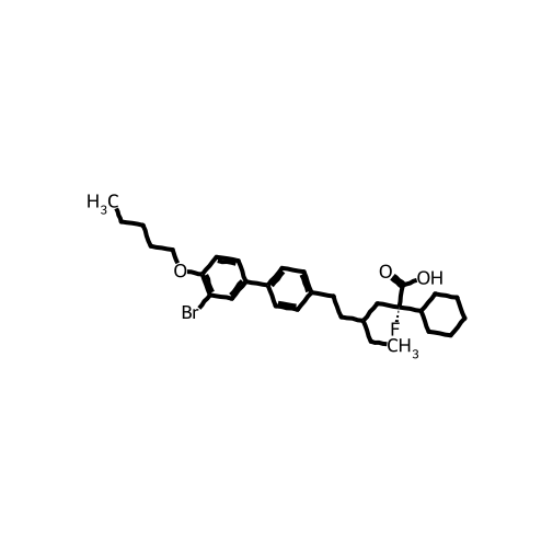 CCCCCOc1ccc(-c2ccc(CCC(CC)C[C@@](F)(C(=O)O)C3CCCCC3)cc2)cc1Br